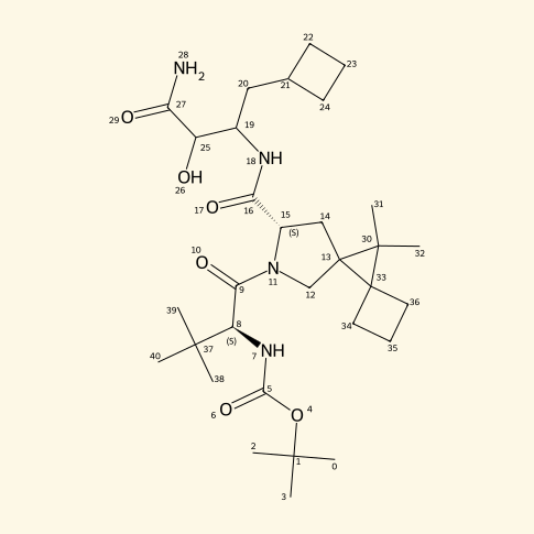 CC(C)(C)OC(=O)N[C@H](C(=O)N1CC2(C[C@H]1C(=O)NC(CC1CCC1)C(O)C(N)=O)C(C)(C)C21CCC1)C(C)(C)C